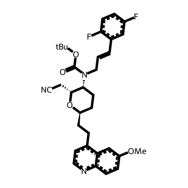 COc1ccc2nccc(CC[C@@H]3CC[C@@H](N(C/C=C/c4cc(F)ccc4F)C(=O)OC(C)(C)C)[C@@H](CC#N)O3)c2c1